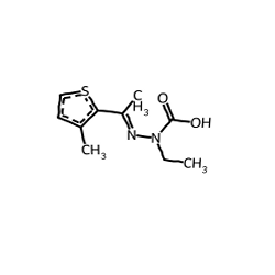 CCN(N=C(C)c1sccc1C)C(=O)O